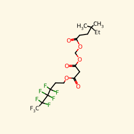 CCC(C)(C)CCC(=O)OCOC(=O)CC(=O)OCCC(F)(F)C(F)(F)C(F)(F)C(F)(F)F